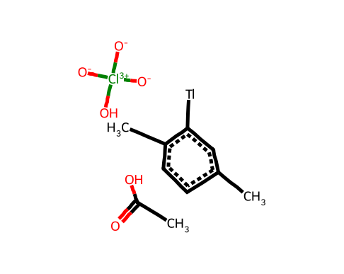 CC(=O)O.Cc1ccc(C)[c]([Tl])c1.[O-][Cl+3]([O-])([O-])O